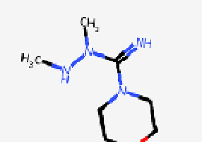 CNN(C)C(=N)N1CCOCC1